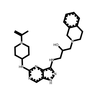 C=C(C)N1CCC(Nc2ncc3[nH]nc(NCC(O)CN4CCc5ccccc5C4)c3n2)CC1